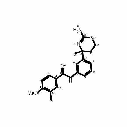 COc1ccc(C(=O)Nc2cccc(C3(C)CCSC(N)=N3)c2)cc1C